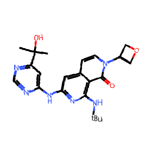 CC(C)(C)Nc1nc(Nc2cc(C(C)(C)O)ncn2)cc2ccn(C3COC3)c(=O)c12